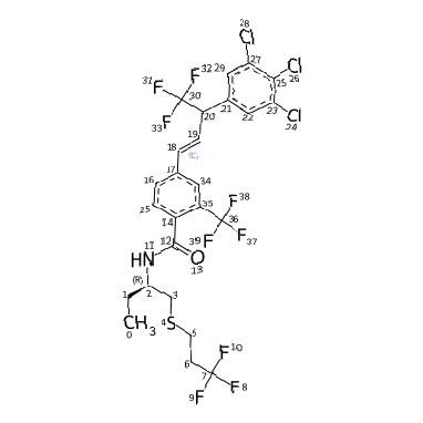 CC[C@H](CSCCC(F)(F)F)NC(=O)c1ccc(/C=C/C(c2cc(Cl)c(Cl)c(Cl)c2)C(F)(F)F)cc1C(F)(F)F